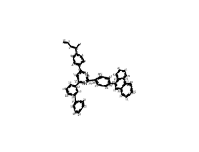 C=C/C=C(\C)c1ccc(-c2cc(-c3cccc(-c4ccccc4)c3)nc(-c3ccc(-c4cc5ccccc5c5ccccc45)cc3)n2)cc1